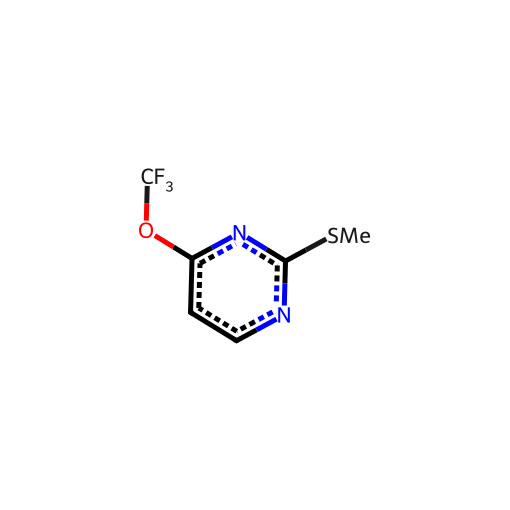 CSc1nccc(OC(F)(F)F)n1